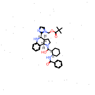 CC(C)(C)C(=O)OCn1ccnc1[C@@H]1Nc2ccccc2[C@H]2[C@@H]1CCN2C(O)[C@H]1CCCC[C@H]1NC(=O)c1ccccc1